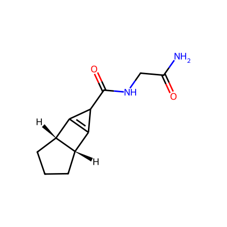 NC(=O)CNC(=O)C1C2=C1[C@@H]1CCC[C@H]21